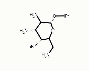 CC(C)O[C@@H]1OC(CN)[C@H](C(C)C)[C@H](N)C1N